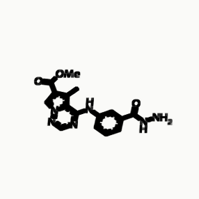 COC(=O)c1cn2ncnc(Nc3cccc(C(=O)NN)c3)c2c1C